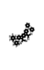 N#CC(C#N)=C1c2cc(P(c3ccccc3)c3ccccc3)ccc2-c2cc3c(cc21)C(=C(C#N)C#N)c1cc(P(c2c(F)c(F)c(F)c(F)c2F)c2c(F)c(F)c(F)c(F)c2F)ccc1-3